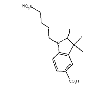 CC1N(CCCCS(=O)(=O)O)c2ccc(C(=O)O)cc2C1(C)C